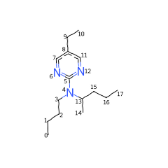 CCCCN(c1ncc(CC)cn1)C(C)CCC